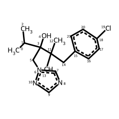 CC(C)C(O)(Cn1cncn1)C(C)(C)Cc1ccc(Cl)cc1